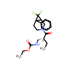 CCOC(=O)NC[C@@H](CC)C(=O)N1CCC2(c3ccccc3)C(C1)C2(F)F